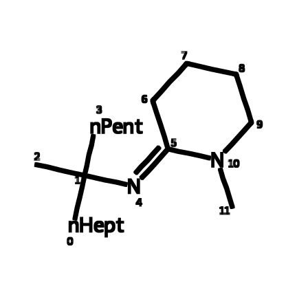 CCCCCCCC(C)(CCCCC)N=C1CCCCN1C